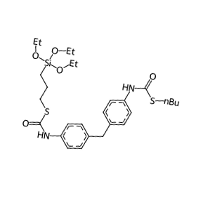 CCCCSC(=O)Nc1ccc(Cc2ccc(NC(=O)SCCC[Si](OCC)(OCC)OCC)cc2)cc1